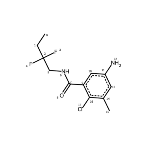 CCC(F)(F)CNC(=O)c1cc(N)cc(C)c1Cl